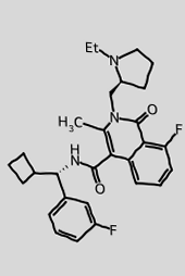 CCN1CCC[C@H]1Cn1c(C)c(C(=O)N[C@H](c2cccc(F)c2)C2CCC2)c2cccc(F)c2c1=O